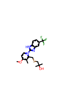 COc1cc[n+](-c2nc3cc(C(F)(F)F)ccc3[nH]2)c(CSCC(C)(C)O)c1C